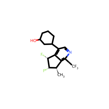 C[C@H]1c2c(C(F)(F)F)ncc(C3CCCC(O)C3)c2[C@@H](F)[C@H]1F